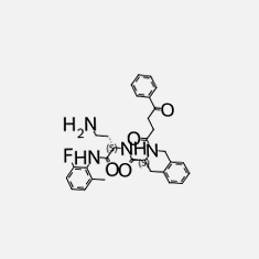 Cc1cccc(F)c1NC(=O)[C@H](CCN)NC(=O)[C@@H]1Cc2ccccc2CN1C(=O)CCC(=O)c1ccccc1